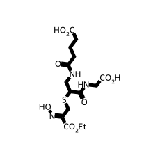 CCOC(=O)C(CSC(CNC(=O)CCCC(=O)O)C(=O)NCC(=O)O)=NO